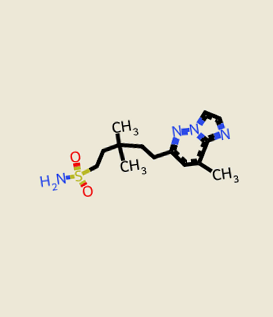 Cc1cc(CCC(C)(C)CCS(N)(=O)=O)nn2ccnc12